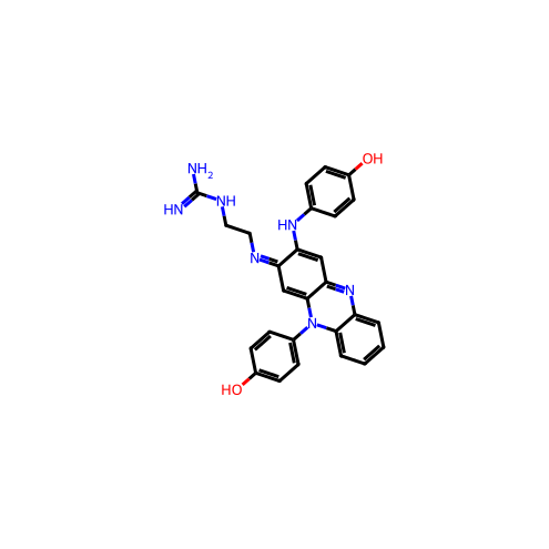 N=C(N)NCC/N=c1/cc2n(-c3ccc(O)cc3)c3ccccc3nc-2cc1Nc1ccc(O)cc1